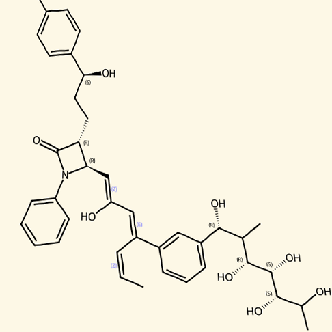 C\C=C/C(=C\C(O)=C\[C@@H]1[C@@H](CC[C@H](O)c2ccc(F)cc2)C(=O)N1c1ccccc1)c1cccc([C@H](O)C(C)[C@@H](O)[C@H](O)[C@@H](O)C(C)O)c1